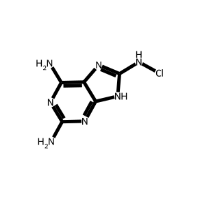 Nc1nc(N)c2nc(NCl)[nH]c2n1